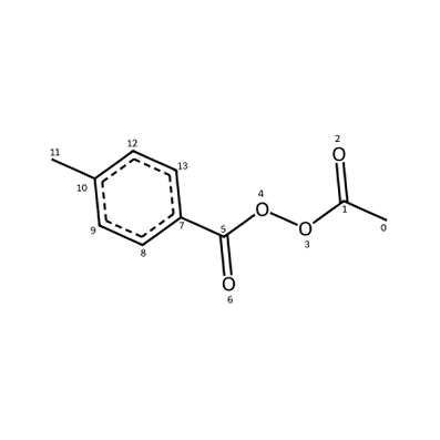 CC(=O)OOC(=O)c1ccc(C)cc1